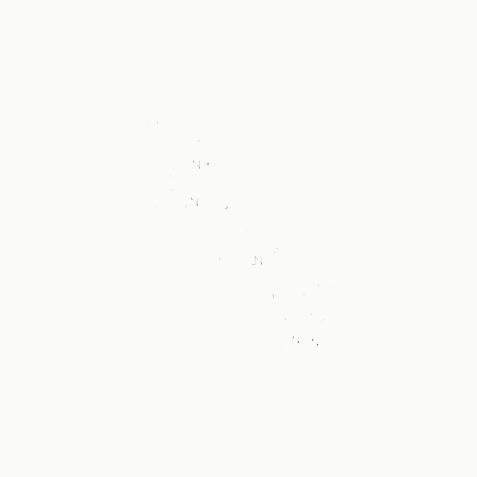 Cc1cc2c(=O)[nH]c(CCCC(=O)N3CCC(C(=O)c4cnn(C)c4)CC3)cn2c1